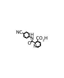 N#Cc1ccc(NC(=O)c2ncccc2C(=O)O)cc1